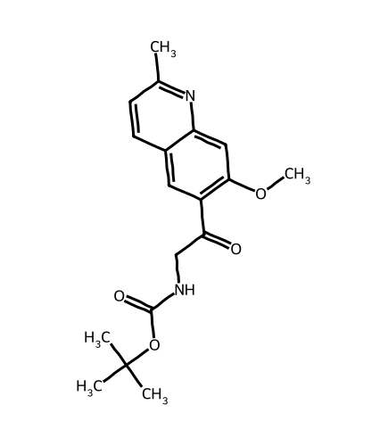 COc1cc2nc(C)ccc2cc1C(=O)CNC(=O)OC(C)(C)C